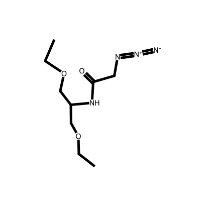 CCOCC(COCC)NC(=O)CN=[N+]=[N-]